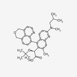 Cc1cc2nc(N(C)CC(C)C)ccc2c(-c2ccc3c4c(ccnc24)COC3)c1[C@H](OC(C)(C)C)C(=O)O